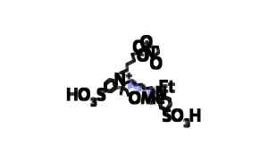 CCN1/C(=C/C=C/C=C/C2=[N+](CCCCCC(=O)ON3C(=O)CCC3=O)c3ccc(S(=O)(=O)O)cc3C2(C)CCOC)C(C)(C)c2cc(S(=O)(=O)O)ccc21